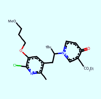 CCOC(=O)c1cn(C(Cc2cc(OCCCOC)c(Cl)nc2C)C(C)(C)C)ccc1=O